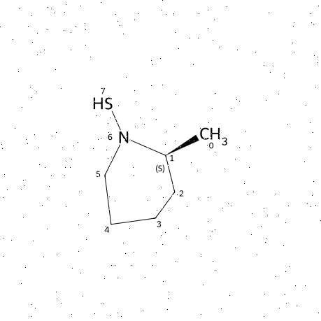 C[C@H]1CCCCN1S